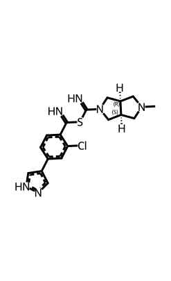 CN1C[C@@H]2CN(C(=N)SC(=N)c3ccc(-c4cn[nH]c4)cc3Cl)C[C@@H]2C1